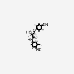 [C-]#[N+]c1ccc(NC(=O)[C@@](C)(O)COc2ccc(C#N)cc2)cc1C